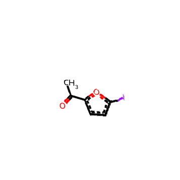 CC(=O)c1ccc(I)o1